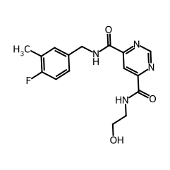 Cc1cc(CNC(=O)c2cc(C(=O)NCCO)ncn2)ccc1F